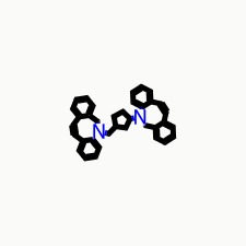 C1#Cc2ccccc2N(CC2CCC(N3Cc4ccccc4C#Cc4ccccc43)C2)Cc2ccccc21